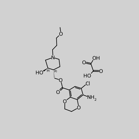 COCCCN1CC[C@H](COC(=O)c2cc(Cl)c(N)c3c2OCCO3)[C@@H](O)C1.O=C(O)C(=O)O